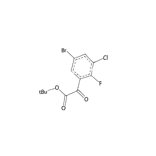 CC(C)(C)OC(=O)C(=O)c1cc(Br)cc(Cl)c1F